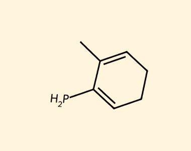 CC1=CCCC=C1P